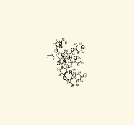 C=CC[C@H](COc1ccn(CC)n1)CS(=O)(=NC(=O)c1ccc2c(c1)N(C[C@@H]1CC[C@H]1[C@H](C=C)OC)C[C@@]1(CCCc3cc(Cl)ccc31)CO2)NC(=O)COC1CCOCC1